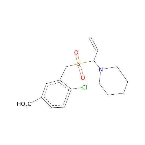 C=CC(N1CCCCC1)S(=O)(=O)Cc1cc(C(=O)O)ccc1Cl